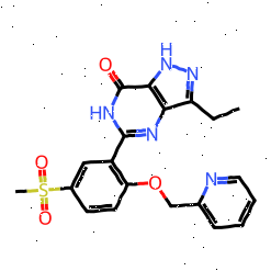 CCc1n[nH]c2c(=O)[nH]c(-c3cc(S(C)(=O)=O)ccc3OCc3ccccn3)nc12